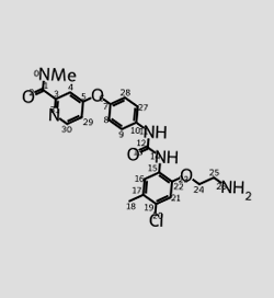 CNC(=O)c1cc(Oc2ccc(NC(=O)Nc3cc(C)c(Cl)cc3OCCN)cc2)ccn1